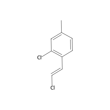 Cc1ccc(C=CCl)c(Cl)c1